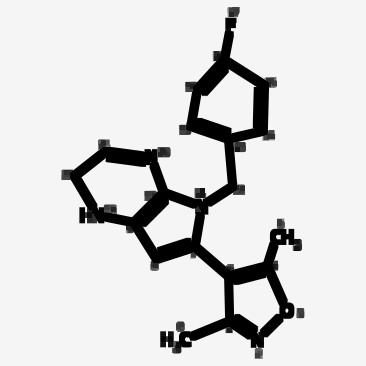 Cc1noc(C)c1-c1cc2c(n1Cc1ccc(F)cc1)N=CCN2